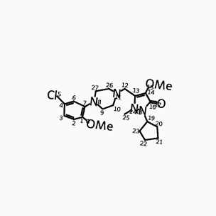 COc1ccc(Cl)cc1N1CCN(Cc2c(OC)c(=O)n(C3CCCC3)n2C)CC1